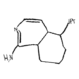 CC(C)C1CCCC2C(N)=NC=CC21